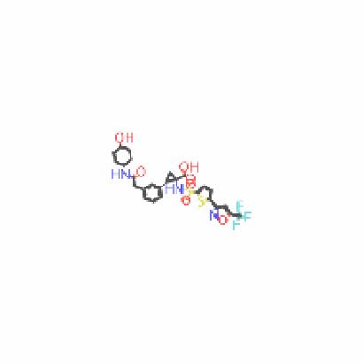 O=C(Cc1cccc([C@@H]2C[C@]2(NS(=O)(=O)c2ccc(-c3cc(C(F)(F)F)on3)s2)C(=O)O)c1)N[C@H]1CC[C@H](O)CC1